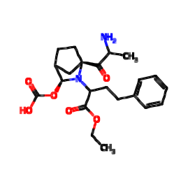 CCOC(=O)C(CCc1ccccc1)N1[C@@H](OC(=O)O)C2CC[C@@]1(C(=O)C(C)N)C2